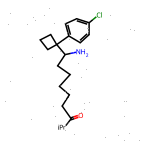 CC(C)C(=O)CCCCCC(N)C1(c2ccc(Cl)cc2)CCC1